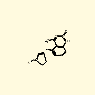 CN1CC[C@@H](Oc2cccc3c2C(N)=N[S+]([O-])N3)C1